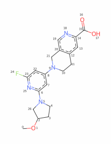 COC1CCN(c2cc(N3CCc4cc(C(=O)O)ncc4C3)cc(F)n2)C1